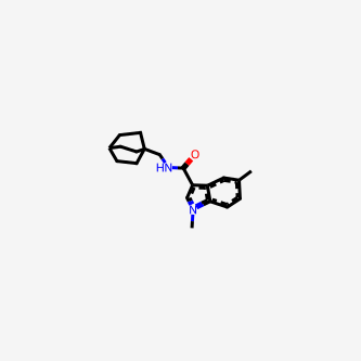 Cc1ccc2c(c1)c(C(=O)NCC13CCC(CC1)CC3)cn2C